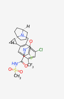 CS(=O)(=O)NC(=O)c1cc(C2CC2)c(CN2[C@@H]3CC[C@H]2C[C@H](Oc2ncc(C(F)(F)F)cc2Cl)C3)cc1F